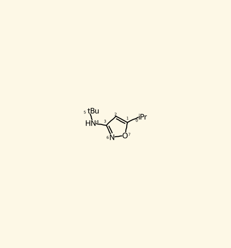 CC(C)c1cc(NC(C)(C)C)no1